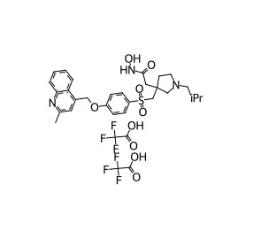 Cc1cc(COc2ccc(S(=O)(=O)CC3(CC(=O)NO)CCN(CC(C)C)C3)cc2)c2ccccc2n1.O=C(O)C(F)(F)F.O=C(O)C(F)(F)F